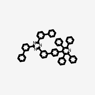 c1ccc(-c2cccc(-c3nc(-c4cccc(-c5ccccc5)c4)nc(-c4cccc(-c5ccc(-c6c(-c7ccccc7)c(-c7ccccc7)nc(-c7ccccc7)c6-c6ccccc6)cc5)c4)n3)c2)cc1